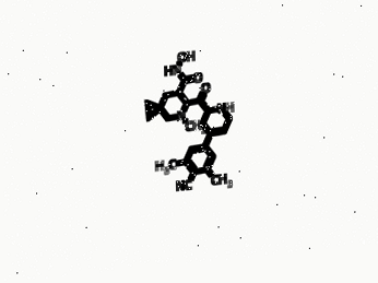 Cc1cc(C2=CCNC(C(=O)C3C(C(=O)NO)CC4(CC4)CN3C)C2)cc(C)c1C#N